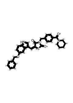 O=C(c1ccc(CN2C(=O)SC(=Cc3c[nH]c4ccc(OCc5ccccc5)cc34)C2=O)cc1)N1CCCCC1